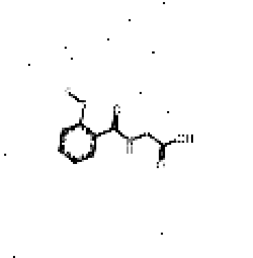 O=C(O)CNC(=O)c1ccccc1S[S]